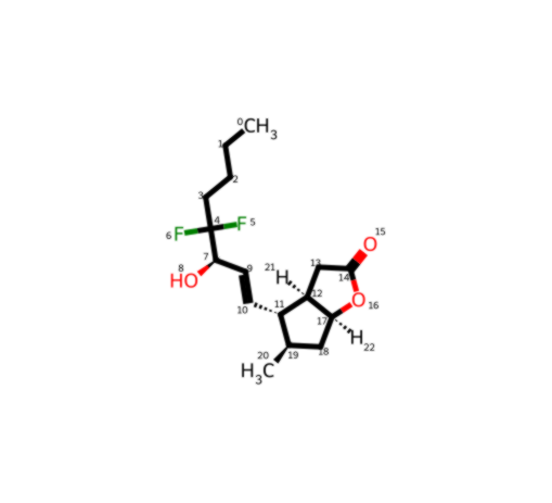 CCCCC(F)(F)[C@H](O)C=C[C@@H]1[C@H]2CC(=O)O[C@H]2C[C@H]1C